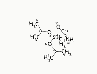 CC(C)O[SiH](C)OC(C)C.N=C=O